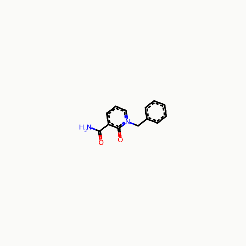 NC(=O)c1cccn(Cc2ccccc2)c1=O